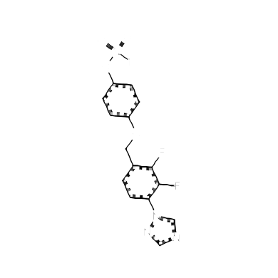 O=S(=O)(F)Oc1ccc(OCc2ccc(-n3cncn3)c(F)c2F)cc1